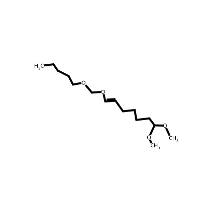 CCCCCOCOC=CCCCCC(OC)OC